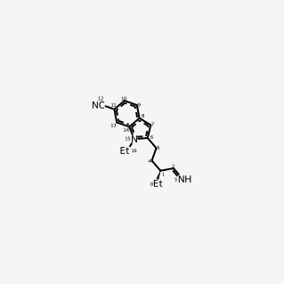 CC[C@H](C=N)CCc1cc2ccc(C#N)cc2n1CC